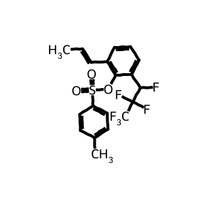 CC=Cc1cccc(C(F)C(F)(F)C(F)(F)F)c1OS(=O)(=O)c1ccc(C)cc1